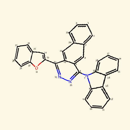 c1ccc2cc3c(-n4c5ccccc5c5ccccc54)nnc(-c4cc5ccccc5o4)c3cc2c1